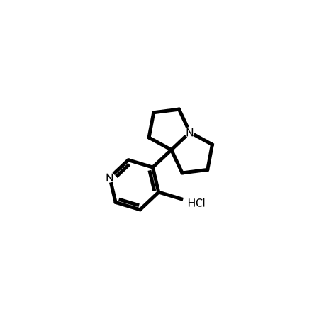 Cc1ccncc1C12CCCN1CCC2.Cl